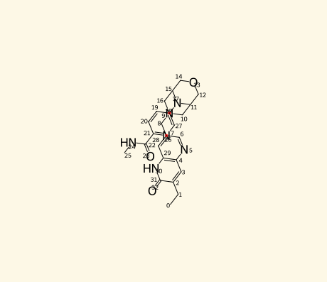 CCc1cc2ncc(CN3CC4COCC(C3)N4c3ccc(C(=O)NC)nc3)cc2[nH]c1=O